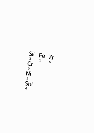 [Cr].[Fe].[Ni].[Si].[Sn].[Zr]